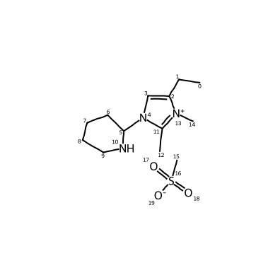 CCc1cn(C2CCCCN2)c(C)[n+]1C.CS(=O)(=O)[O-]